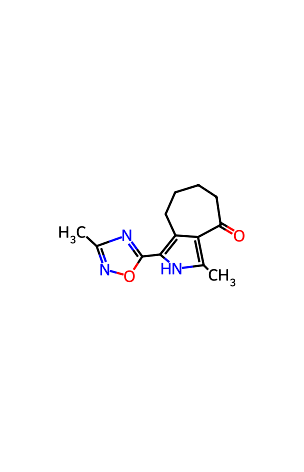 Cc1noc(-c2[nH]c(C)c3c2CCCCC3=O)n1